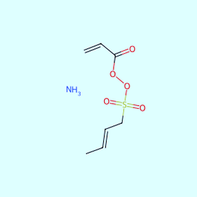 C=CC(=O)OOS(=O)(=O)CC=CC.N